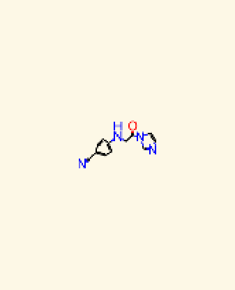 N#Cc1ccc(NCC(=O)n2ccnc2)cc1